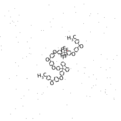 Cc1ccc(C(=O)c2ccc(Oc3ccc(C4(c5ccc(Oc6ccc(C(=O)c7ccc(Oc8ccc(C(c9ccc(Oc%10ccc(C(=O)c%11ccc(C)cc%11)cc%10)cc9)(C(F)(F)F)C(F)(F)F)cc8)cc7)cc6)cc5)c5ccccc5-c5ccccc54)cc3)cc2)cc1